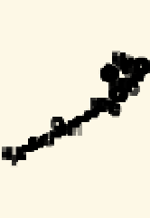 CCc1cccc(N(CC)C(=O)Cn2c(C(=O)N[C@H]3CC[C@H](C(=O)NCCCCCCCCNC(=O)CCOCCOCCN)CC3)cc3ccccc32)c1